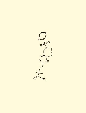 CC(C)(C[CH]C(=O)N[C@@H]1CCCN(S(=O)(=O)c2ccccn2)CC1=O)C(N)=O